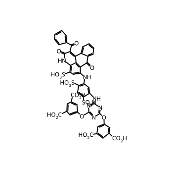 O=C(O)c1cc(Oc2nc(Nc3cc(Nc4cc(S(=O)(=O)O)c5[nH]c(=O)c(C(=O)c6ccccc6)c6c5c4C(=O)c4ccccc4-6)c(S(=O)(=O)O)cc3S(=O)(=O)O)nc(Oc3cc(C(=O)O)cc(C(=O)O)c3)n2)cc(C(=O)O)c1